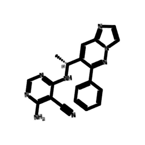 C[C@@H](Nc1ncnc(N)c1C#N)c1cc2nccn2nc1-c1ccccc1